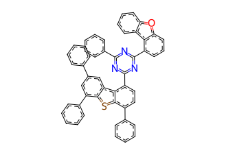 c1ccc(-c2cc(-c3ccccc3)c3sc4c(-c5ccccc5)ccc(-c5nc(-c6ccccc6)nc(-c6cccc7oc8ccccc8c67)n5)c4c3c2)cc1